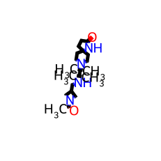 CC(=O)N1CC(CNC(C)(C)C(C)(C)N2CCC3(CCC(=O)N3)CC2)C1